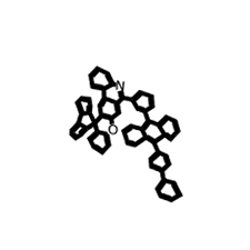 c1ccc(-c2ccc(-c3c4ccccc4c(-c4cccc(-c5nc6ccccc6c6cc7c(cc56)Oc5ccccc5C75c6ccccc6-c6ccccc65)c4)c4ccccc34)cc2)cc1